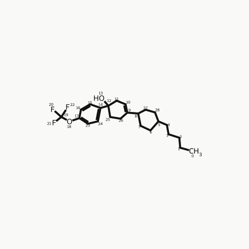 CCCCCC1CCC(C2=CCC(O)(c3ccc(OC(F)(F)F)cc3)CC2)CC1